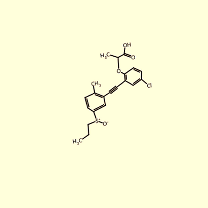 CCC[S+]([O-])c1ccc(C)c(C#Cc2cc(Cl)ccc2OC(C)C(=O)O)c1